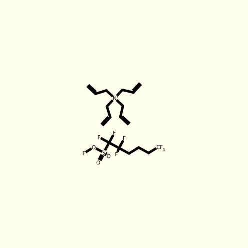 C=CC[N+](CC=C)(CC=C)CC=C.O=S(=O)(OF)C(F)(F)C(F)(F)CCCC(F)(F)F